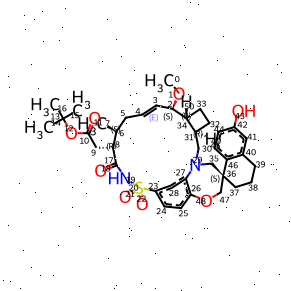 CO[C@@H]1/C=C/C[C@H](C)[C@@H](CC(=O)OC(C)(C)C)C(=O)NS(=O)(=O)c2ccc3c(c2)N(C[C@@H]2CC[C@H]21)C[C@@]1(CCCc2cc(O)ccc21)CO3